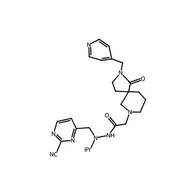 CC(C)N(Cc1ccnc(C#N)n1)NC(=O)CN1CCCC2(CCN(Cc3ccncc3)C2=O)C1